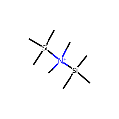 C[N+](C)([Si](C)(C)C)[Si](C)(C)C